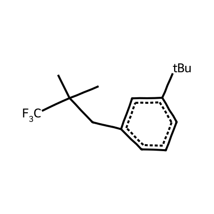 CC(C)(C)c1cccc(CC(C)(C)C(F)(F)F)c1